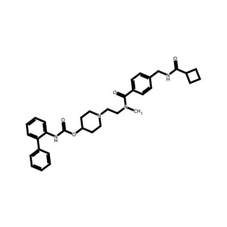 CN(CCN1CCC(OC(=O)Nc2ccccc2-c2ccccc2)CC1)C(=O)c1ccc(CNC(=O)C2CCC2)cc1